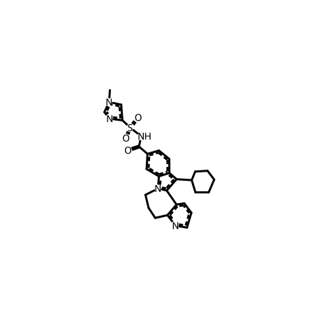 Cn1cnc(S(=O)(=O)NC(=O)c2ccc3c(C4CCCCC4)c4n(c3c2)CCCc2ncccc2-4)c1